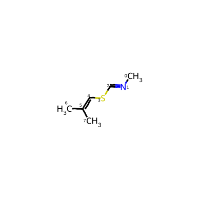 C/N=C/SC=C(C)C